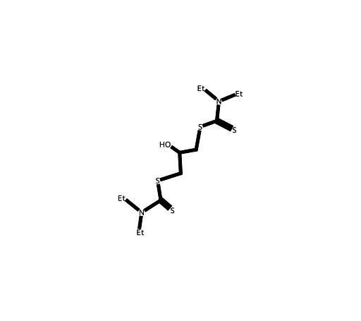 CCN(CC)C(=S)SCC(O)CSC(=S)N(CC)CC